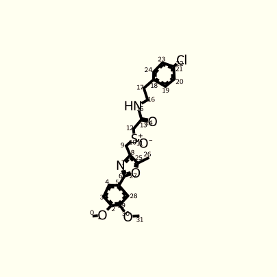 COc1ccc(-c2nc(C[S+]([O-])CC(=O)NCCc3ccc(Cl)cc3)c(C)o2)cc1OC